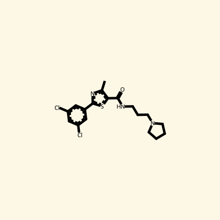 Cc1nc(-c2cc(Cl)cc(Cl)c2)sc1C(=O)NCCCN1CCCC1